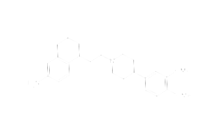 COc1ccc(C2CCN(CCC3CCCc4cc(N)ccc43)CC2)cc1OC